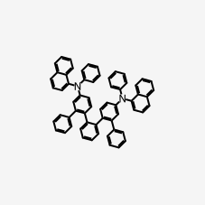 c1ccc(-c2cc(N(c3ccccc3)c3cccc4ccccc34)ccc2-c2ccccc2-c2ccc(N(c3ccccc3)c3cccc4ccccc34)cc2-c2ccccc2)cc1